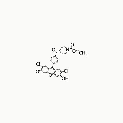 CCOC(=O)N1CCN(C(=O)c2ccc(-c3c4cc(Cl)c(=O)cc-4oc4cc(O)c(Cl)cc34)cc2)CC1